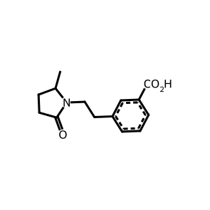 CC1CCC(=O)N1CCc1cccc(C(=O)O)c1